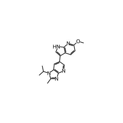 COc1ccc2c(-c3cnc4nc(C)n(C(C)C)c4c3)c[nH]c2n1